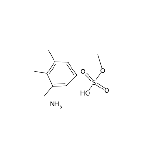 COS(=O)(=O)O.Cc1cccc(C)c1C.N